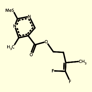 CSc1ncc(C(=O)OCCC(C)=C(F)F)c(C)n1